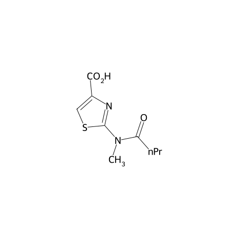 CCCC(=O)N(C)c1nc(C(=O)O)cs1